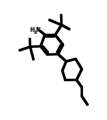 CCCC1CCC(c2cc(C(C)(C)C)c(N)c(C(C)(C)C)c2)CC1